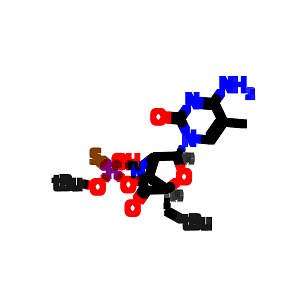 Cc1cn([C@@H]2O[C@@]3(CC(C)(C)C)C(=O)N(C)C2C3OP(O)(=S)OC(C)(C)C)c(=O)nc1N